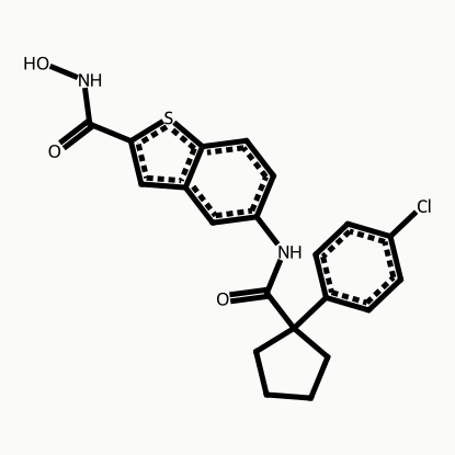 O=C(NO)c1cc2cc(NC(=O)C3(c4ccc(Cl)cc4)CCCC3)ccc2s1